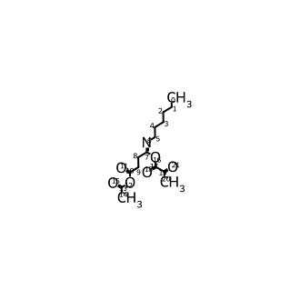 CCCCCCN=C(CCC(=O)OC(C)=O)OC(=O)C(C)=O